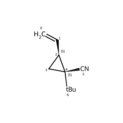 C=C[C@@H]1C[C@@]1(C#N)C(C)(C)C